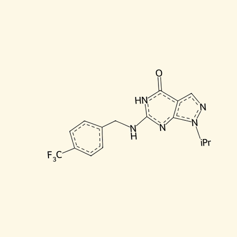 CC(C)n1ncc2c(=O)[nH]c(NCc3ccc(C(F)(F)F)cc3)nc21